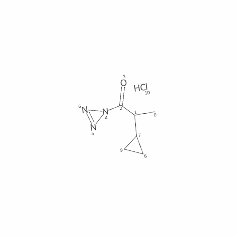 CC(C(=O)N1N=N1)C1CC1.Cl